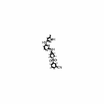 Cc1cc(Nc2ccnc(NC3C4CN(S(=O)(=O)c5cccc(C#N)c5)CC43)n2)n[nH]1